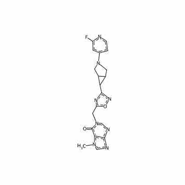 Cn1cnc2ncn(Cc3nc(C4C5CN(c6ccnc(F)c6)CC54)no3)c(=O)c21